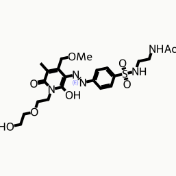 COCc1c(/N=N/c2ccc(S(=O)(=O)NCCNC(C)=O)cc2)c(O)n(CCOCCO)c(=O)c1C